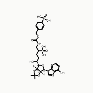 CC1(C)O[C@@H]2[C@H](O1)[C@@H](C(O)CCC(CNC(=O)OCc1ccc(P(=O)(O)O)cc1)P(=O)(O)O)O[C@H]2n1cnc2c(O)ncnc21